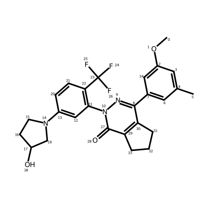 COc1cc(C)cc(-c2nn(-c3cc(N4CCC(O)C4)ccc3C(F)(F)F)c(=O)c3c2CCC3)c1